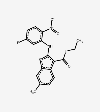 CCOC(=O)c1c(Nc2cc(F)ccc2[N+](=O)[O-])sc2cc(C)ccc12